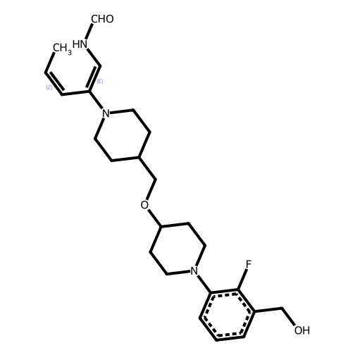 C/C=C\C(=C/NC=O)N1CCC(COC2CCN(c3cccc(CO)c3F)CC2)CC1